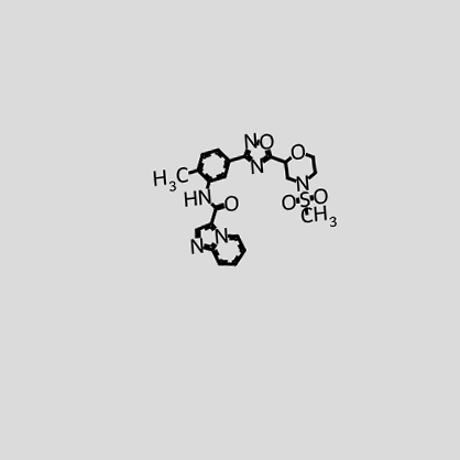 Cc1ccc(-c2noc(C3CN(S(C)(=O)=O)CCO3)n2)cc1NC(=O)c1cnc2ccccn12